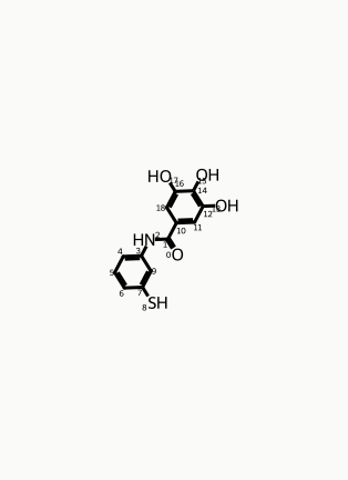 O=C(Nc1cccc(S)c1)c1cc(O)c(O)c(O)c1